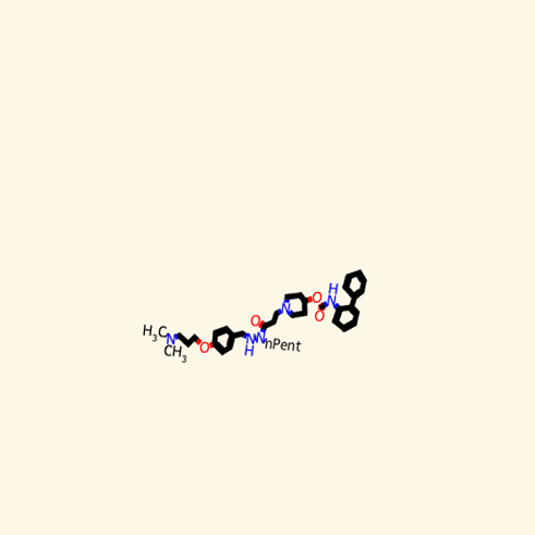 CCCCCN(NCc1ccc(OCCCN(C)C)cc1)C(=O)CCN1CCC(OC(=O)Nc2ccccc2-c2ccccc2)CC1